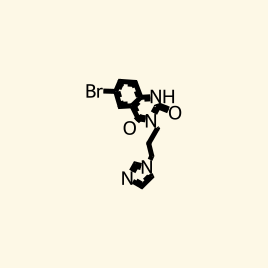 O=c1[nH]c2ccc(Br)cc2c(=O)n1CCCn1ccnc1